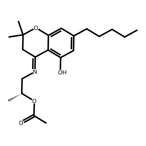 CCCCCc1cc(O)c2c(c1)OC(C)(C)CC2=NC[C@@H](C)OC(C)=O